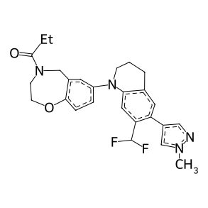 CCC(=O)N1CCOc2ccc(N3CCCc4cc(-c5cnn(C)c5)c(C(F)F)cc43)cc2C1